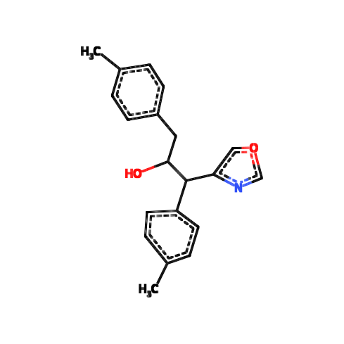 Cc1ccc(CC(O)C(c2ccc(C)cc2)c2cocn2)cc1